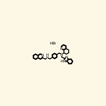 Br.c1cnc2c(c1)CCCC2N(Cc1ccc(CNCc2cc3ccccc3cn2)cc1)Cc1nc2ccccc2[nH]1